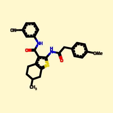 COc1ccc(CC(=O)Nc2sc3c(c2C(=O)Nc2cccc(N=O)c2)CCC(C)C3)cc1